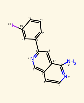 Nc1nccc2cnc(-c3cccc(I)c3)cc12